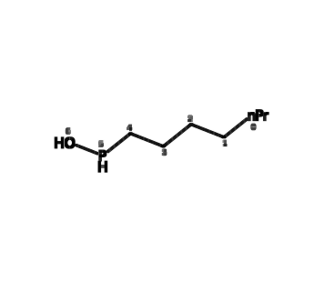 CCCCCCCPO